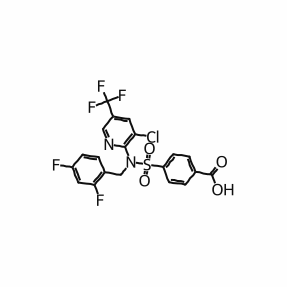 O=C(O)c1ccc(S(=O)(=O)N(Cc2ccc(F)cc2F)c2ncc(C(F)(F)F)cc2Cl)cc1